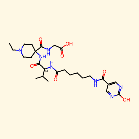 CCN1CCC(NC(=O)[C@@H](NC(=O)CCCCCNC(=O)c2cnc(O)nc2)C(C)C)(C(=O)NCC(=O)O)CC1